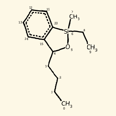 CCCCC1O[Si](C)(CC)c2ccccc21